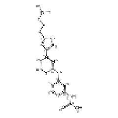 CN(C)CCCn1cc(N2C=CCC(Cc3cccc(NC(=O)O)c3)=N2)cn1